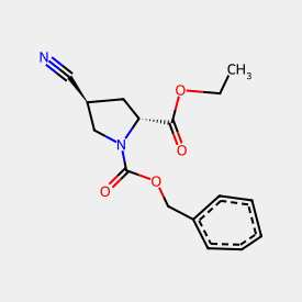 CCOC(=O)[C@H]1C[C@H](C#N)CN1C(=O)OCc1ccccc1